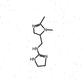 CC1=NCC(CNC2=NCCN2)N1C